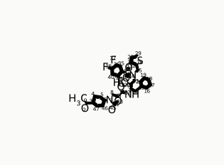 CC(=O)c1ccc(N2C[C@@H](C(=O)NC(Cc3ccccc3)[C@@H](O)CN(Cc3cccs3)S(=O)(=O)c3cc(F)c(F)cc3F)OC2=O)cc1